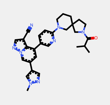 CC(C)C(=O)N1CCC2(CCCN(c3ccc(-c4cc(-c5cnn(C)c5)cn5ncc(C#N)c45)cn3)C2)C1